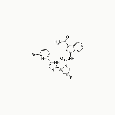 NC(=O)n1cc(NC(=O)N2C[C@H](F)C[C@H]2c2ncc(-c3cccc(Br)n3)[nH]2)c2ccccc21